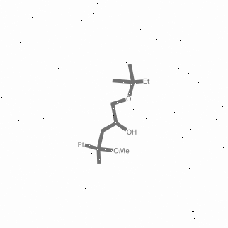 CCC(C)(C)OCC(O)CC(C)(CC)OC